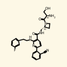 N#Cc1ccccc1-c1ccc(C(=O)NC[C@H]2CCN2C(=O)[C@H](N)CO)c(NCCc2cccc(F)c2)n1